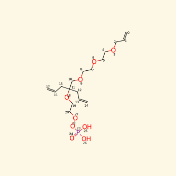 C=CCOCCOCCOCC(CC=C)(CC=C)OCCOOP(=O)(O)O